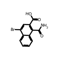 NC(=O)c1c(C(=O)O)cc(Br)c2ccccc12